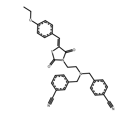 CCOc1ccc(/C=C2\SC(=O)N(CCN(Cc3ccc(C#N)cc3)Cc3cccc(C#N)c3)C2=O)cc1